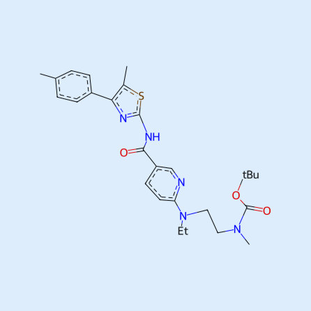 CCN(CCN(C)C(=O)OC(C)(C)C)c1ccc(C(=O)Nc2nc(-c3ccc(C)cc3)c(C)s2)cn1